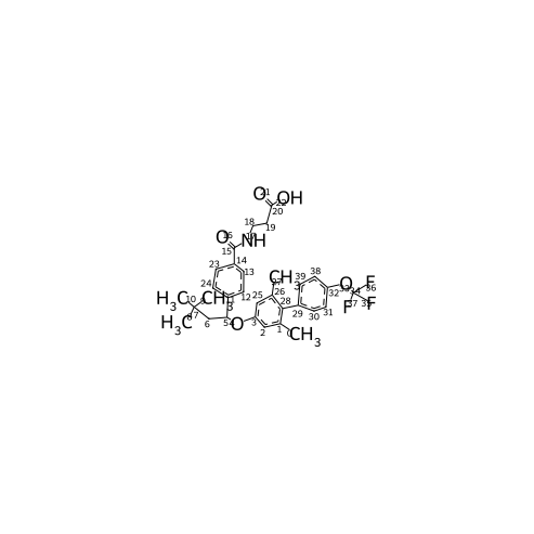 Cc1cc(OC(CC(C)(C)C)c2ccc(C(=O)NCCC(=O)O)cc2)cc(C)c1-c1ccc(OC(F)(F)F)cc1